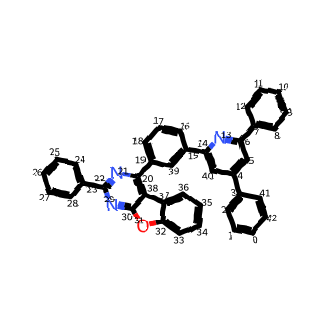 c1ccc(-c2cc(-c3ccccc3)nc(-c3cccc(-c4nc(-c5ccccc5)nc5oc6ccccc6c45)c3)c2)cc1